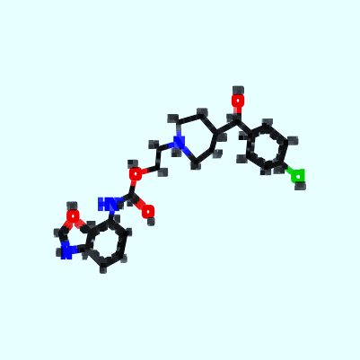 O=C(Nc1cccc2ncoc12)OCCN1CCC(C(=O)c2ccc(Cl)cc2)CC1